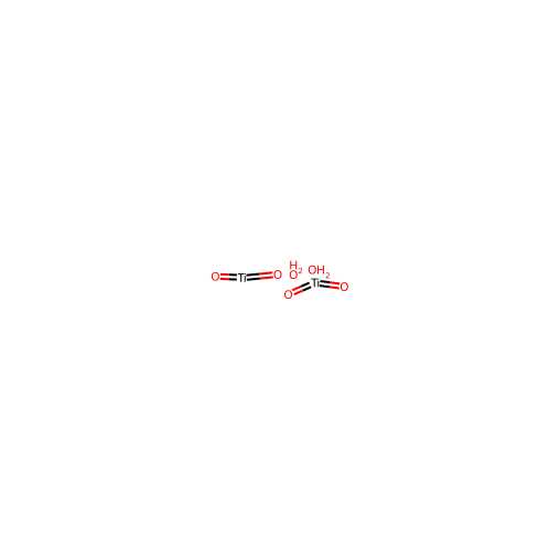 O.O.[O]=[Ti]=[O].[O]=[Ti]=[O]